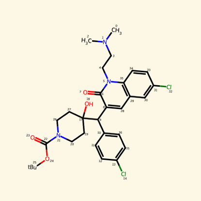 CN(C)CCn1c(=O)c(C(c2ccc(Cl)cc2)C2(O)CCN(C(=O)OC(C)(C)C)CC2)cc2cc(Cl)ccc21